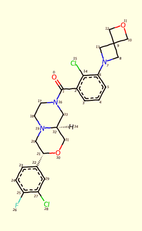 O=C(c1cccc(N2CC3(COC3)C2)c1Cl)N1CCN2C[C@@H](c3ccc(F)c(Cl)c3)OC[C@@H]2C1